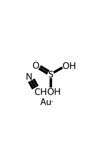 C#N.O=S(O)O.[Au]